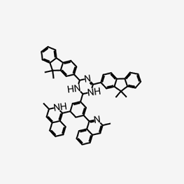 Cc1cc2ccccc2c(C2=CC(C3NC(c4ccc5c(c4)C(C)(C)c4ccccc4-5)=NC(c4ccc5c(c4)C(C)(C)c4ccccc4-5)N3)=CC(C3=c4ccccc4=CC(C)N3)C2)n1